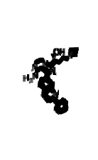 Nc1nccn2c([C@H](CO)CCCN3CCC3)nc(-c3ccc4ccc(-c5ccccc5)nc4c3)c12